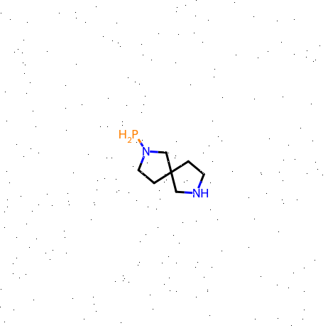 PN1CCC2(CCNC2)C1